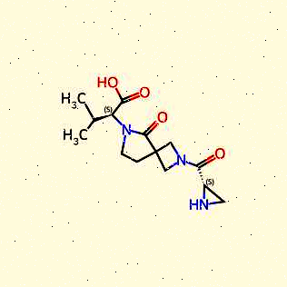 CC(C)[C@@H](C(=O)O)N1CCC2(CN(C(=O)[C@@H]3CN3)C2)C1=O